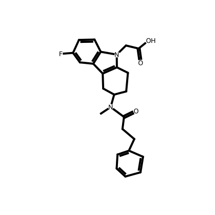 CN(C(=O)CCc1ccccc1)C1CCc2c(c3cc(F)ccc3n2CC(=O)O)C1